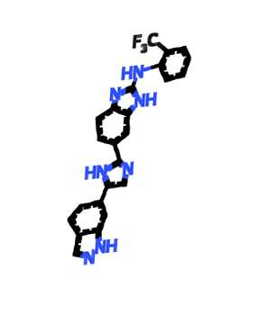 FC(F)(F)c1ccccc1Nc1nc2ccc(-c3ncc(-c4ccc5cn[nH]c5c4)[nH]3)cc2[nH]1